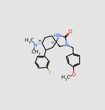 COc1ccc(CN2C[C@@]3(CC[C@@H](N(C)C)C(c4cccc(F)c4)C3)NC2=O)cc1